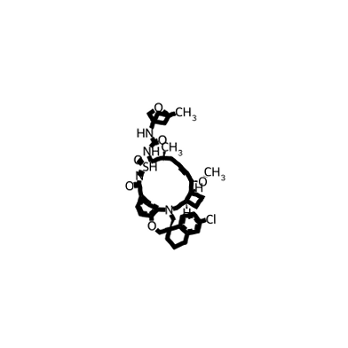 CO[C@H]1/C=C/C[C@H](C)C(NC(=O)NC23COC(C)(C2)C3)/[SH](=O)=N\C(=O)c2ccc3c(c2)N(C[C@@H]2CC[C@H]21)C[C@@]1(CCCc2cc(Cl)ccc21)CO3